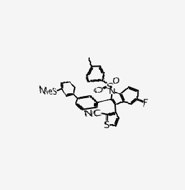 CSC1=CCCC(c2cccc(-c3c(-c4ccsc4C#N)c4cc(F)ccc4n3S(=O)(=O)c3ccc(C)cc3)c2)=C1